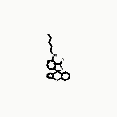 CCCCCNc1cccc2c1C(=O)OC21c2ccccc2Oc2ccccc21